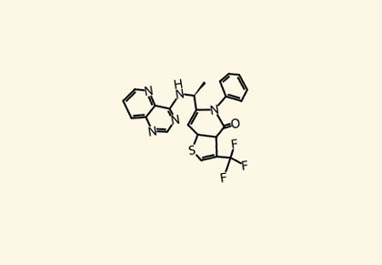 C[C@H](Nc1ncnc2cccnc12)C1=CC2SC=C(C(F)(F)F)C2C(=O)N1c1ccccc1